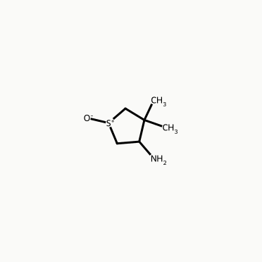 CC1(C)C[S+]([O-])CC1N